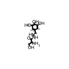 NC(CO)C(=O)NNCc1cc(O)c(O)c(O)c1